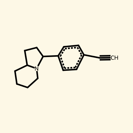 C#Cc1ccc(C2CCC3CCCCN32)cc1